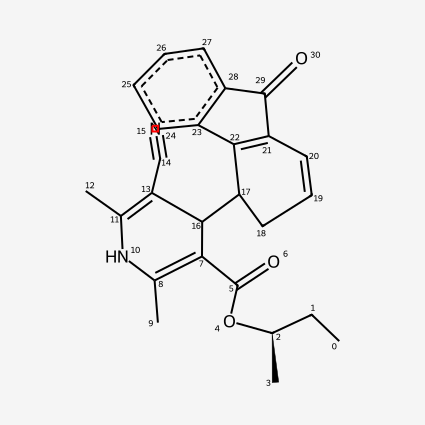 CC[C@@H](C)OC(=O)C1=C(C)NC(C)=C(C#N)C1C1CC=CC2=C1c1ccccc1C2=O